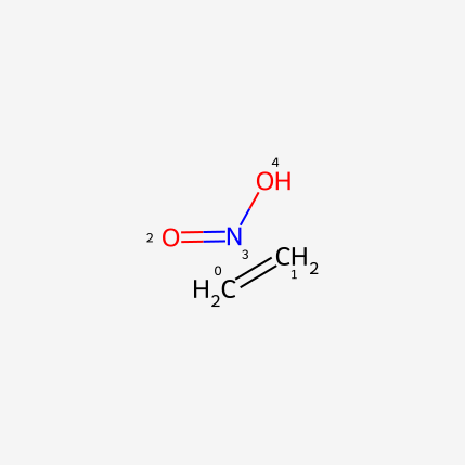 C=C.O=NO